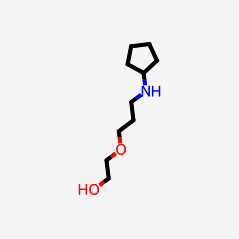 OCCOCCCNC1CCCC1